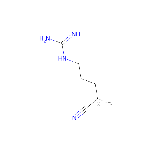 C[C@H](C#N)CCCNC(=N)N